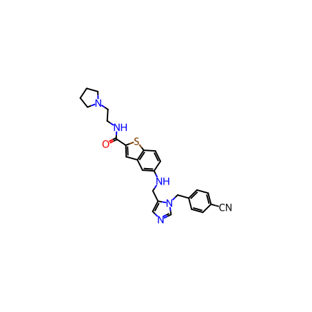 N#Cc1ccc(Cn2cncc2CNc2ccc3sc(C(=O)NCCN4CCCC4)cc3c2)cc1